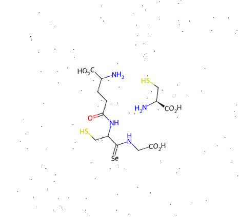 NC(CCC(=O)NC(CS)C(=[Se])NCC(=O)O)C(=O)O.N[C@@H](CS)C(=O)O